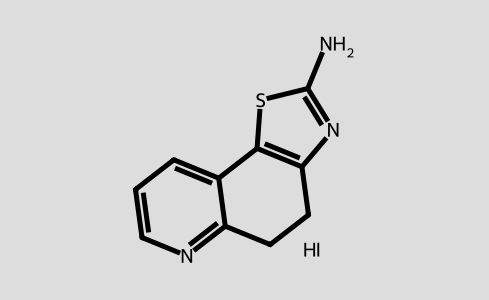 I.Nc1nc2c(s1)-c1cccnc1CC2